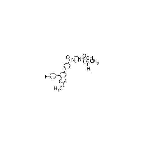 CCc1cc2cc(-c3ccc(C(=O)N4CCN(C(=O)OC(C)(C)C)CC4)cc3)cc(-c3ccc(F)cc3)c2o1